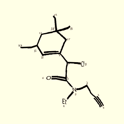 C#CCN(CC)C(=O)C(Cl)C1=CC(C)CC(C)(C)C1